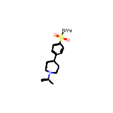 C=C(C)N1CCC(c2ccc(S(=O)(=O)NC)cc2)CC1